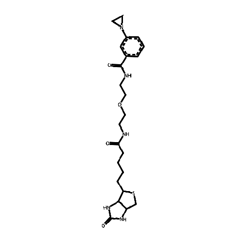 O=C(CCCCC1SCC2NC(=O)NC21)NCCOCCNC(=O)c1cccc(N2CC2)c1